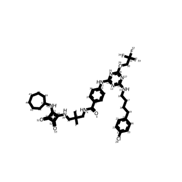 CC(C)(CNC(=O)c1ccc(Nc2nc(NCCCCc3ccc(Cl)cc3)nc(OCC(F)(F)F)n2)cc1)CNc1c(NC2CCCCCC2)c(=O)c1=O